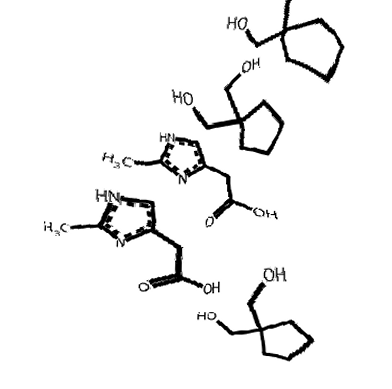 Cc1nc(CC(=O)O)c[nH]1.Cc1nc(CC(=O)O)c[nH]1.OCC1(CO)CCCC1.OCC1(CO)CCCC1.OCC1(CO)CCCC1